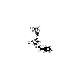 N=C(N)Nc1nc(CSCCNC(=C[N+](=O)[O-])NCC(O)c2ccc(Cl)cc2)cs1